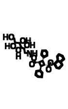 O=C(OCNC[C@H](O)[C@@H](O)[C@H](O)[C@H](O)CO)[C@H]1[C@H](c2ccccc2)[C@H](C(=O)Oc2cccc3ccccc23)[C@H]1c1ccccc1